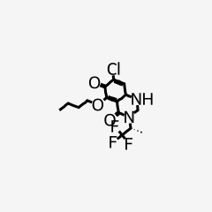 CCCCOC1=C2C(=O)N([C@H](C)C(F)(F)F)CNC2C=C(Cl)C1=O